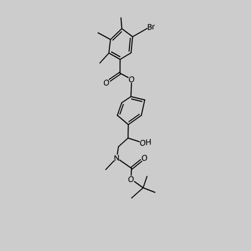 Cc1c(Br)cc(C(=O)Oc2ccc(C(O)CN(C)C(=O)OC(C)(C)C)cc2)c(C)c1C